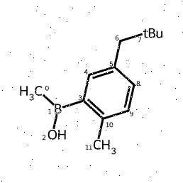 CB(O)c1cc(CC(C)(C)C)ccc1C